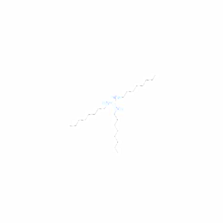 CCCCCCCCN[SiH](NCCCCCCCC)NCCCCCCCC